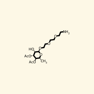 CC(=O)O[C@@H]1[C@H](O)[C@@H](OCCOCCOCCN)O[C@H](C)[C@H]1OC(C)=O